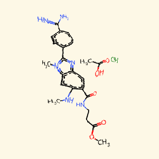 CC(=O)O.CNc1cc2c(cc1C(=O)NCCC(=O)OC)nc(-c1ccc(C(=N)N)cc1)n2C.Cl